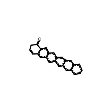 O=C1CC=Cc2cc3cc4cc5cc6ccccc6cc5cc4cc3cc21